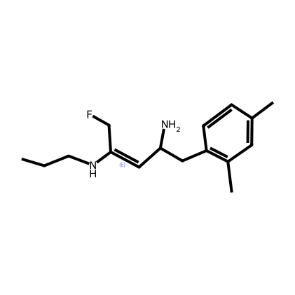 CCCN/C(=C/C(N)Cc1ccc(C)cc1C)CF